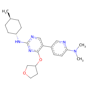 CN(C)c1ccc(-c2cnc(N[C@H]3CC[C@H](C)CC3)nc2OC2CCOC2)cn1